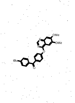 COc1cc2ncnc(Oc3ccc(C(=O)c4ccc(C(C)(C)C)cc4)cc3)c2cc1OC